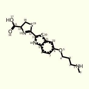 CNCCCOc1ccc2nc(C3=NC(C(=O)O)CS3)sc2c1